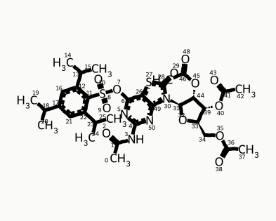 CC(=O)Nc1nc(OS(=O)(=O)c2c(C(C)C)cc(C(C)C)cc2C(C)C)c2sc(=O)n([C@@H]3O[C@H](COC(C)=O)[C@@H](OC(C)=O)[C@H]3OC(C)=O)c2n1